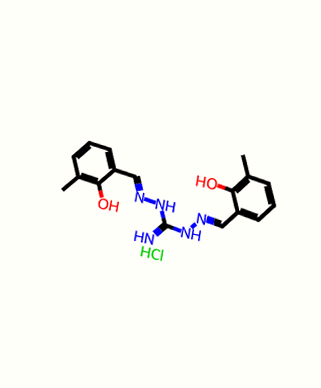 Cc1cccc(C=NNC(=N)NN=Cc2cccc(C)c2O)c1O.Cl